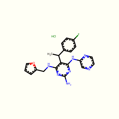 CC(c1ccc(F)cc1)c1c(NCc2ccco2)nc(N)nc1Nc1cnccn1.Cl